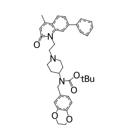 Cc1cc(=O)n(CCN2CCC(N(Cc3ccc4c(c3)OCCO4)C(=O)OC(C)(C)C)CC2)c2cc(-c3ccccc3)ccc12